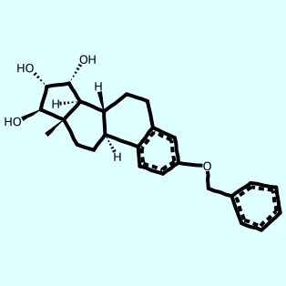 C[C@]12CC[C@@H]3c4ccc(OCc5ccccc5)cc4CC[C@H]3[C@@H]1[C@@H](O)[C@@H](O)[C@@H]2O